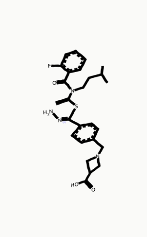 C=C(S/C(=N\N)c1ccc(CN2CC(C(=O)O)C2)cc1)N(CCC(C)C)C(=O)c1ccccc1F